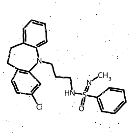 CN=S(=O)(NCCCN1c2ccccc2CCc2ccc(Cl)cc21)c1ccccc1